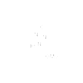 C/C=N/C(=N\C(Cl)=C/C)N(CC)CCOC